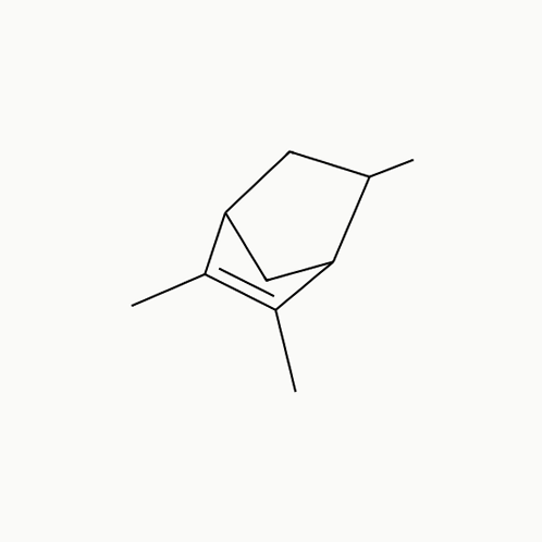 CC1=C(C)C2CC1CC2C